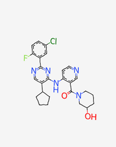 O=C(c1cnccc1Nc1nc(-c2cc(Cl)ccc2F)ncc1C1CCCC1)N1CCCC(O)C1